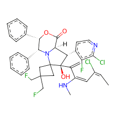 C=C(/C(=C\C(Cl)=C/C)NC)[C@@]1(O)[C@@H](c2ccnc(Cl)c2F)[C@@H]2C(=O)O[C@@H](c3ccccc3)[C@@H](c3ccccc3)N2C12CC(CF)(CF)C2